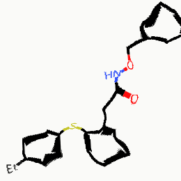 CCc1ccc(Sc2ccccc2CC(=O)NOCc2ccccc2)cc1